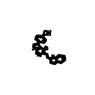 O=c1c2c(-c3ccc(O)cc3)csc2cnn1CCc1ccc2ccccc2n1